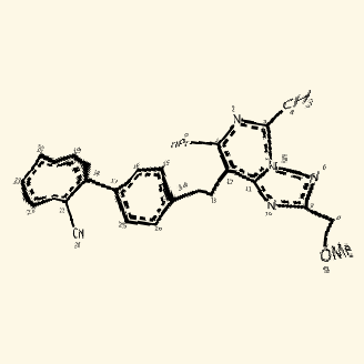 CCCc1nc(C)n2nc(COC)nc2c1Cc1ccc(-c2ccccc2C#N)cc1